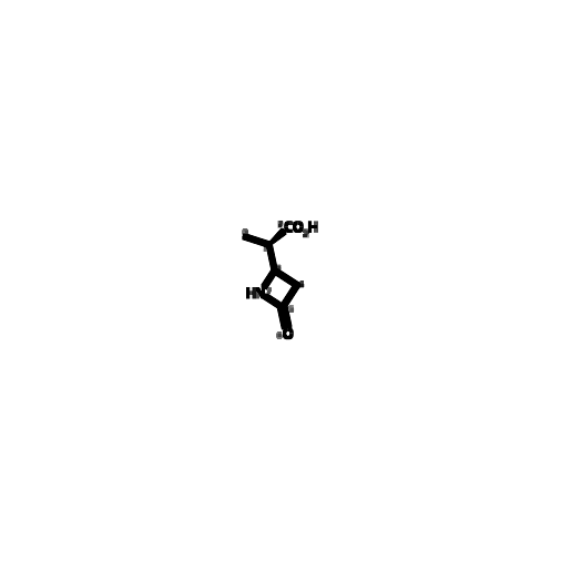 C[C@@H](C(=O)O)C1CC(=O)N1